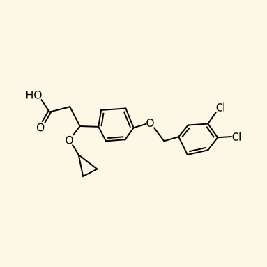 O=C(O)CC(OC1CC1)c1ccc(OCc2ccc(Cl)c(Cl)c2)cc1